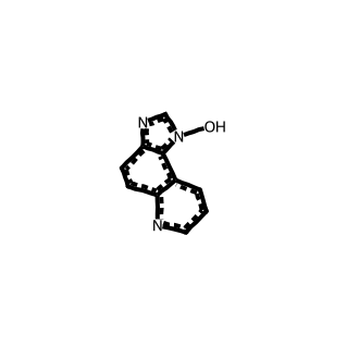 On1cnc2ccc3ncccc3c21